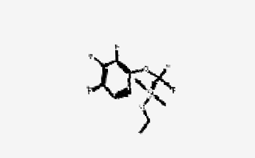 CCO[Si](C)(C)C(F)(F)Oc1ccc(F)c(F)c1F